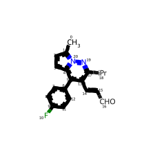 Cc1ccc2c(-c3ccc(F)cc3)c(/C=C/C=O)c(C(C)C)nn12